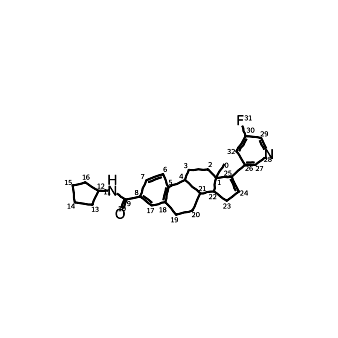 CC12CCC3c4ccc(C(=O)NC5CCCC5)cc4CCC3C1CC=C2c1cncc(F)c1